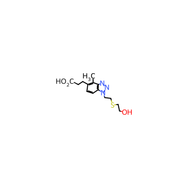 Cc1c(CCC(=O)O)ccc2c1nnn2CCSCCO